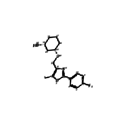 Cc1oc(-c2ccc(F)cc2)nc1CO[C@H]1CCC[C@@H](O)C1